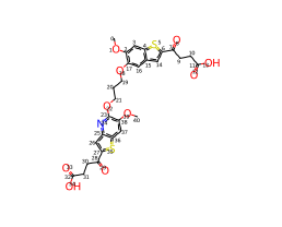 COc1cc2sc(C(=O)CCC(=O)O)cc2cc1OCCCOc1nc2cc(C(=O)CCC(=O)O)sc2cc1OC